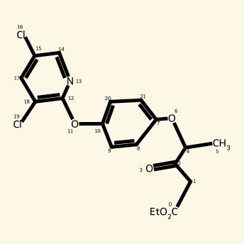 CCOC(=O)CC(=O)C(C)Oc1ccc(Oc2ncc(Cl)cc2Cl)cc1